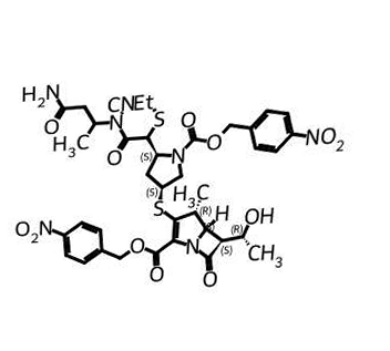 CCSC(C(=O)N(C#N)C(C)CC(N)=O)[C@@H]1C[C@H](SC2=C(C(=O)OCc3ccc([N+](=O)[O-])cc3)N3C(=O)[C@H]([C@@H](C)O)[C@H]3[C@H]2C)CN1C(=O)OCc1ccc([N+](=O)[O-])cc1